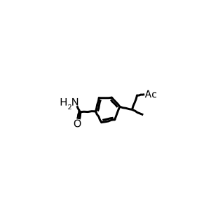 CC(=O)CC(C)c1ccc(C(N)=O)cc1